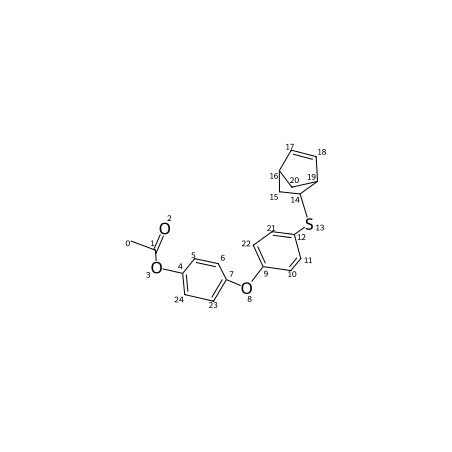 CC(=O)Oc1ccc(Oc2ccc(SC3CC4C=CC3C4)cc2)cc1